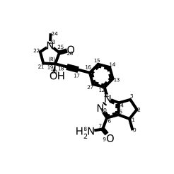 CC1CCc2c1c(C(N)=O)nn2-c1cccc(C#C[C@]2(O)CCN(C)C2=O)c1